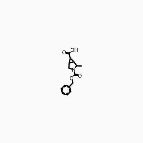 CC1C2C(CN1C(=O)OCc1ccccc1)C2C(=O)O